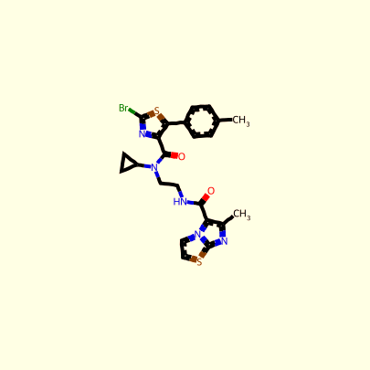 Cc1ccc(-c2sc(Br)nc2C(=O)N(CCNC(=O)c2c(C)nc3sccn23)C2CC2)cc1